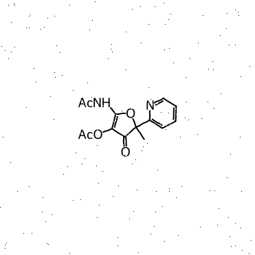 CC(=O)NC1=C(OC(C)=O)C(=O)C(C)(c2ccccn2)O1